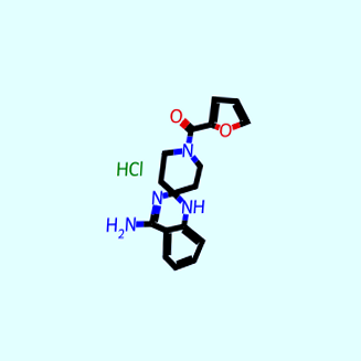 Cl.NC1=NC2(CCN(C(=O)c3ccco3)CC2)Nc2ccccc21